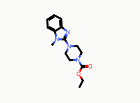 CCOC(=O)N1CCN(c2nc3ccccc3n2C)CC1